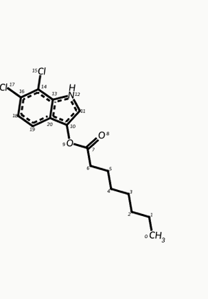 CCCCCCCC(=O)Oc1c[nH]c2c(Cl)c(Cl)ccc12